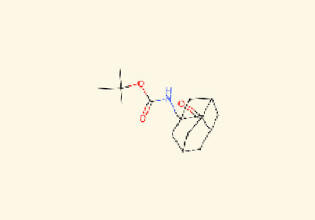 CC(C)(C)OC(=O)NC12CC3CC(=O)C(CC(C3)C1)C2